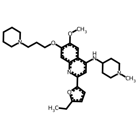 CCc1ccc(-c2cc(NC3CCN(C)CC3)c3cc(OC)c(OCCCN4CCCCC4)cc3n2)o1